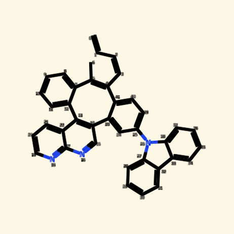 C=C/C=C\C1=C(/C)c2ccccc2-c2c(cnc3ncccc23)-c2cc(-n3c4ccccc4c4ccccc43)ccc21